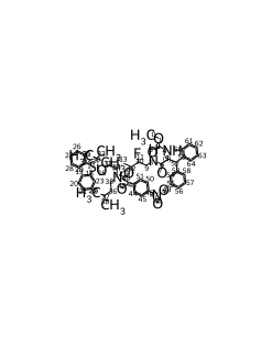 COC(=O)N[C@H](C(=O)NCC(F)CC[C@@H](CO[Si](c1ccccc1)(c1ccccc1)C(C)(C)C)N(CCC(C)C)S(=O)(=O)c1ccc([N+](=O)[O-])cc1)C(c1ccccc1)c1ccccc1